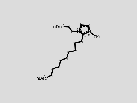 CCCCCCCCCCCCCCCCCCCc1n(C(C)C)cc[n+]1CCCCCCCCCCCC